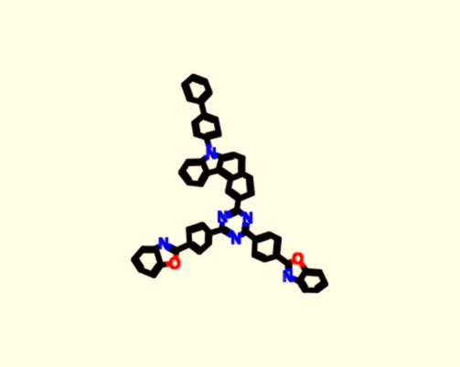 c1ccc(-c2ccc(-n3c4ccccc4c4c5cc(-c6nc(-c7ccc(-c8nc9ccccc9o8)cc7)nc(-c7ccc(-c8nc9ccccc9o8)cc7)n6)ccc5ccc43)cc2)cc1